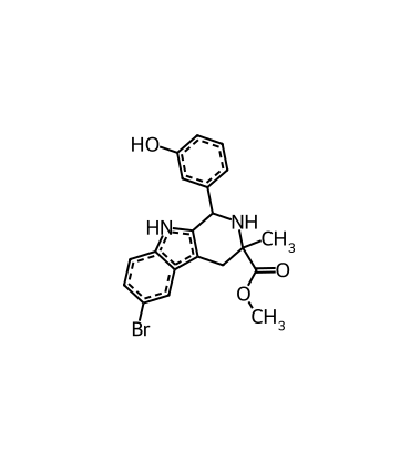 COC(=O)C1(C)Cc2c([nH]c3ccc(Br)cc23)C(c2cccc(O)c2)N1